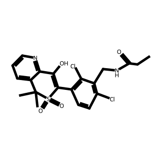 CCC(=O)NCc1c(Cl)ccc(C2=C(O)c3ncccc3C(C)(C)S2(=O)=O)c1Cl